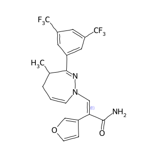 CC1CC=CN(/C=C(/C(N)=O)c2ccoc2)N=C1c1cc(C(F)(F)F)cc(C(F)(F)F)c1